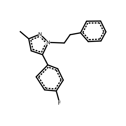 Cc1cc(-c2ccc(F)cc2)n(CCc2ccccc2)n1